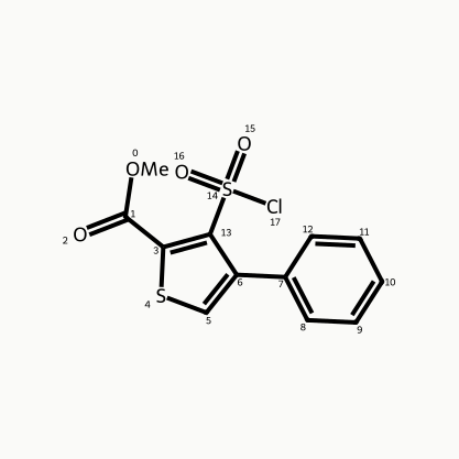 COC(=O)c1scc(-c2ccccc2)c1S(=O)(=O)Cl